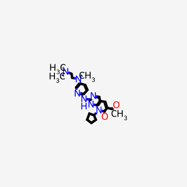 CC(=O)c1cc2cnc(Nc3ccc(N(C)CCN(C)C)cn3)nc2n(C2CCCC2)c1=O